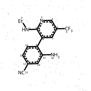 CCNc1ncc(C(F)(F)F)cc1-c1ccc(C#N)cc1N